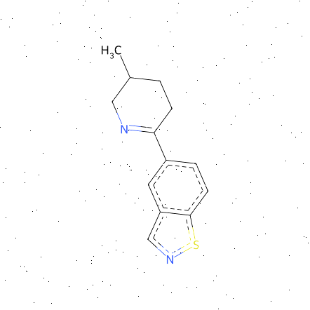 CC1CCC(c2ccc3sncc3c2)=NC1